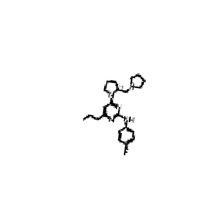 CCCc1cc(N2CCC[C@H]2CN2CCCC2)nc(Nc2ccc(F)cc2)n1